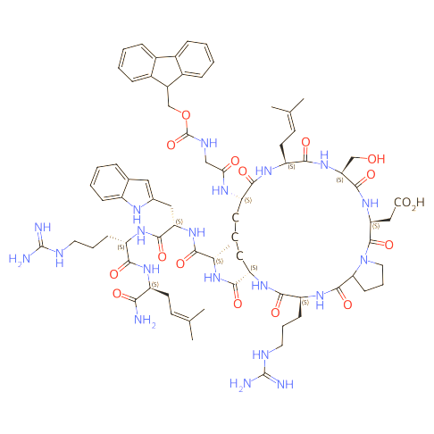 CC(C)=CC[C@H](NC(=O)[C@H](CCCNC(=N)N)NC(=O)[C@H](Cc1cc2ccccc2[nH]1)NC(=O)[C@H](C)NC(=O)[C@@H]1CCC[C@H](NC(=O)CNC(=O)OCC2c3ccccc3-c3ccccc32)C(=O)N[C@@H](CC=C(C)C)C(=O)N[C@@H](CO)C(=O)N[C@@H](CC(=O)O)C(=O)N2CCCC2C(=O)N[C@@H](CCCNC(=N)N)C(=O)N1)C(N)=O